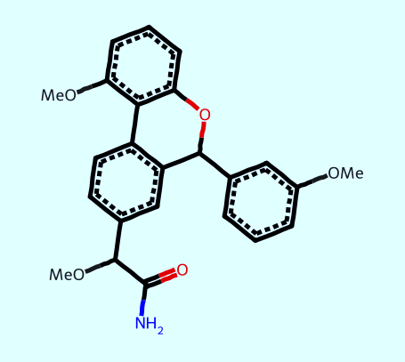 COc1cccc(C2Oc3cccc(OC)c3-c3ccc(C(OC)C(N)=O)cc32)c1